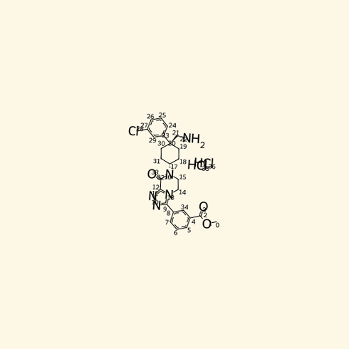 COC(=O)c1cccc(-c2nnc3n2CCN([C@H]2CC[C@@](CN)(c4cccc(Cl)c4)CC2)C3=O)c1.Cl.Cl